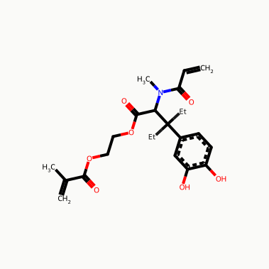 C=CC(=O)N(C)C(C(=O)OCCOC(=O)C(=C)C)C(CC)(CC)c1ccc(O)c(O)c1